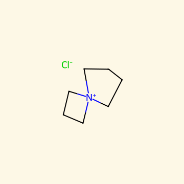 C1CC[N+]2(C1)CCC2.[Cl-]